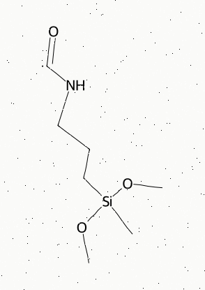 CO[Si](C)(CCCN[C]=O)OC